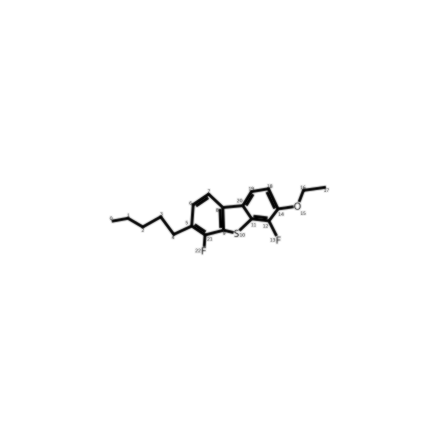 CCCCCc1ccc2c(sc3c(F)c(OCC)ccc32)c1F